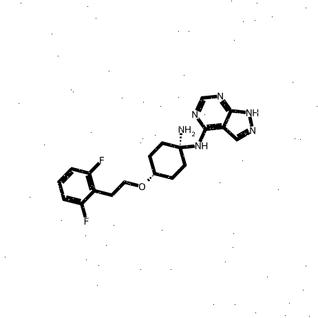 N[C@]1(Nc2ncnc3[nH]ncc23)CC[C@H](OCCc2c(F)cccc2F)CC1